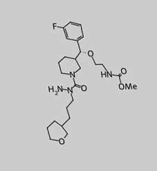 COC(=O)NCCO[C@@H](c1cccc(F)c1)C1CCCN(C(=O)N(N)CCCC2CCCOC2)C1